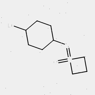 CCC1CCC(N=S2(=O)CCC2)CC1